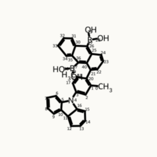 Cc1cc(-n2c3ccccc3c3ccccc32)cc(C)c1-c1cccc2c(B(O)O)c3ccccc3c(B(O)O)c12